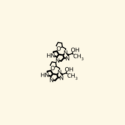 CC(O)c1nc2cnc3[nH]ccc3c2n1CC1CCCO1.CC(O)c1nc2cnc3[nH]ccc3c2n1CC1CCCO1